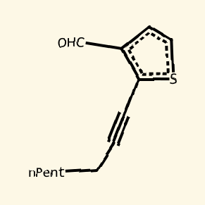 CCCCCCC#Cc1sccc1C=O